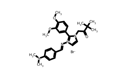 COc1ccc(-c2n(CC(=O)C(C)(C)C)cc[n+]2N=Cc2ccc(N(C)C)cc2)cc1OC.[Br-]